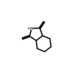 C=C1NC(=C)C2CCCCC12